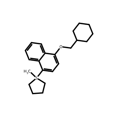 CS1(c2ccc(OCC3CCCCC3)c3ccccc23)CCCC1